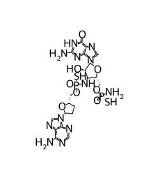 Nc1nc2c(ncn2[C@@H]2O[C@H](COP(N)(=O)S)[C@@H](NP(=O)(S)OC[C@@H]3CC[C@H](n4cnc5c(N)ncnc54)O3)[C@H]2O)c(=O)[nH]1